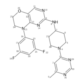 Cc1cc(N2CCC(Nc3ncc4c(n3)N(c3cc(F)cc(F)c3)CCO4)CC2)ncn1